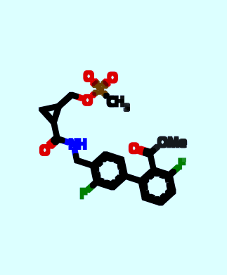 COC(=O)c1c(F)cccc1-c1ccc(CNC(=O)C2CC2COS(C)(=O)=O)c(F)c1